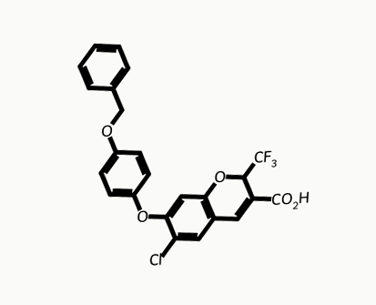 O=C(O)C1=Cc2cc(Cl)c(Oc3ccc(OCc4ccccc4)cc3)cc2OC1C(F)(F)F